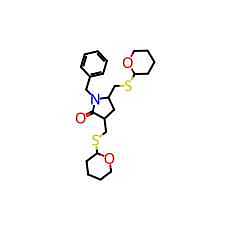 O=C1C(CSC2CCCCO2)CC(CSC2CCCCO2)N1Cc1ccccc1